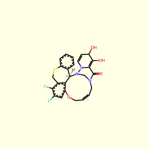 O=C1C2=C(O)C(O)C=CN2N2CN1C/C=C\COc1cc(F)c(F)c3c1[C@H]2c1ccccc1SC3